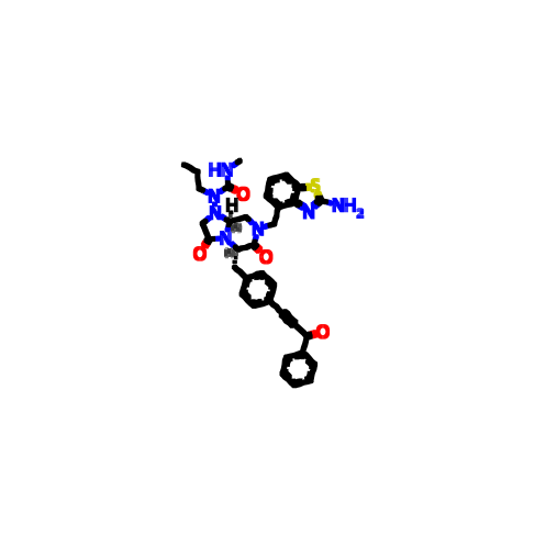 CCCN(C(=O)NC)N1CC(=O)N2[C@@H](Cc3ccc(C#CC(=O)c4ccccc4)cc3)C(=O)N(Cc3cccc4sc(N)nc34)C[C@@H]21